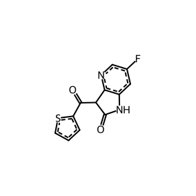 O=C1Nc2cc(F)cnc2C1C(=O)c1cccs1